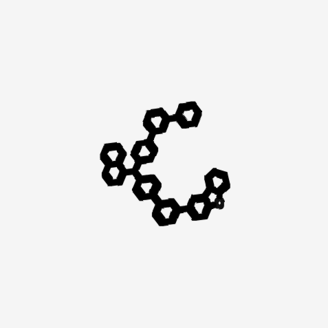 c1ccc(-c2cccc(-c3ccc(C(c4ccc(-c5cccc(-c6ccc7oc8ccccc8c7c6)c5)cc4)c4cccc5ccccc45)cc3)c2)cc1